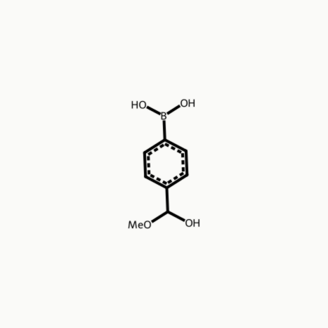 COC(O)c1ccc(B(O)O)cc1